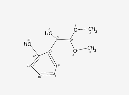 COC(OC)C(O)c1ccccc1O